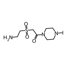 NCCS(=O)(=O)CC(=O)N1CCN(I)CC1